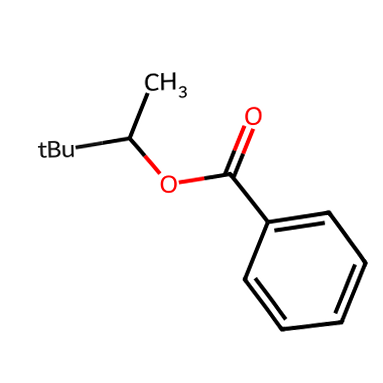 CC(OC(=O)c1ccccc1)C(C)(C)C